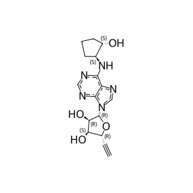 C#C[C@H]1O[C@@H](n2cnc3c(N[C@H]4CCC[C@@H]4O)ncnc32)[C@H](O)[C@@H]1O